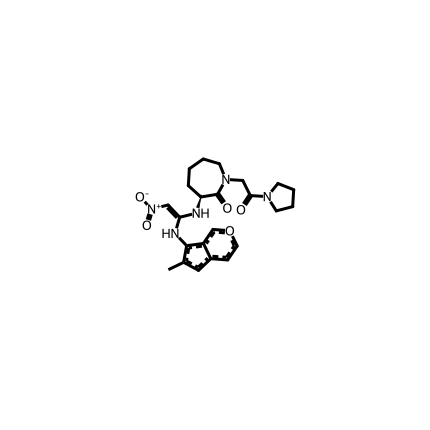 Cc1cc2ccocc-2c1NC(=C[N+](=O)[O-])N[C@H]1CCCCN(CC(=O)N2CCCC2)C1=O